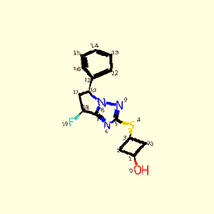 O[C@H]1C[C@@H](Sc2nc3n(n2)[C@H](c2ccccc2)C[C@@H]3F)C1